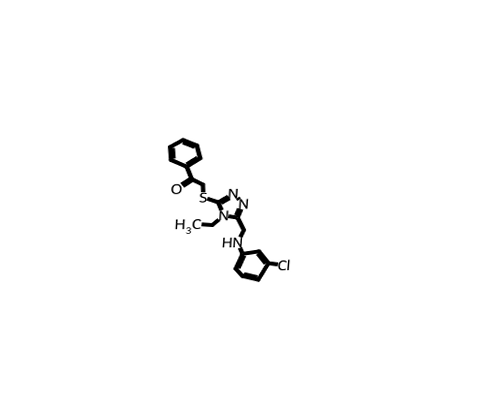 CCn1c(CNc2cccc(Cl)c2)nnc1SCC(=O)c1ccccc1